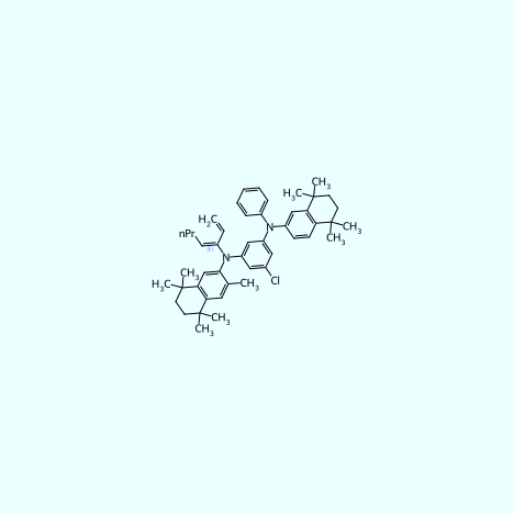 C=C/C(=C\CCC)N(c1cc(Cl)cc(N(c2ccccc2)c2ccc3c(c2)C(C)(C)CCC3(C)C)c1)c1cc2c(cc1C)C(C)(C)CCC2(C)C